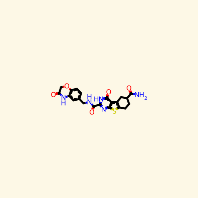 NC(=O)C1CCc2sc3nc(C(=O)NCc4ccc5c(c4)NC(=O)CO5)[nH]c(=O)c3c2C1